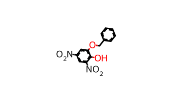 O=[N+]([O-])c1cc(OCc2ccccc2)c(O)c([N+](=O)[O-])c1